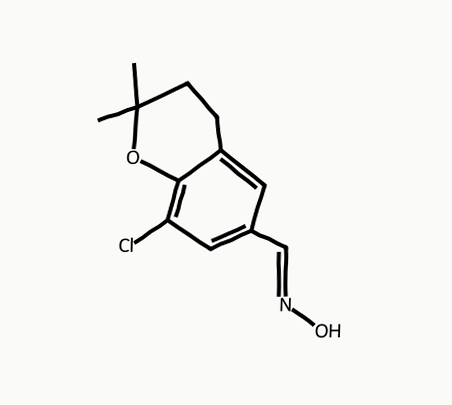 CC1(C)CCc2cc(C=NO)cc(Cl)c2O1